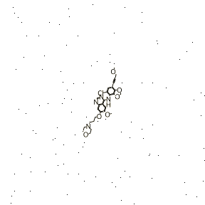 COCC#Cc1cc(Cl)c(Nc2ncnc3cc(OCCCN4CCOCC4)c(OC)cc23)c2c1OCO2